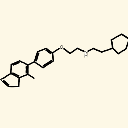 Cc1c(-c2ccc(OCCNCCC3CCCCC3)cc2)ccc2c1CC=N2